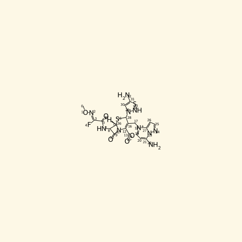 CON=C(F)C(=O)NC1C(=O)N2C(C(=O)[O-])=C(C[n+]3ccc(N)n4nccc43)C(N3C=C(N)SN3)S[C@@H]12